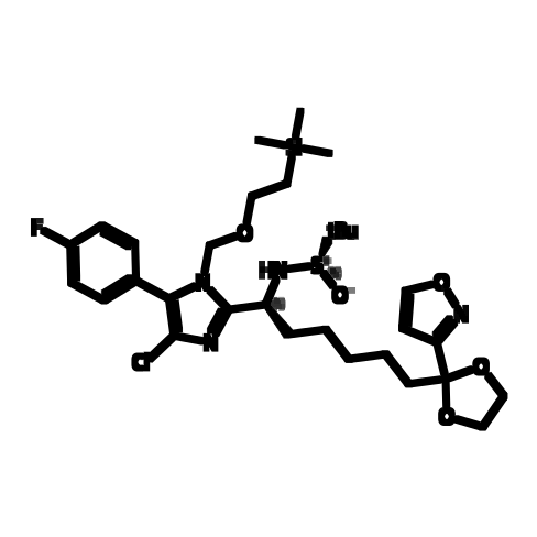 CC(C)(C)[S@@+]([O-])N[C@@H](CCCCCC1(c2ccon2)OCCO1)c1nc(Cl)c(-c2ccc(F)cc2)n1COCC[Si](C)(C)C